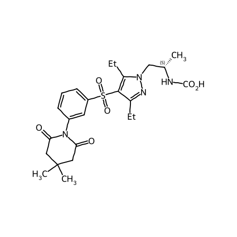 CCc1nn(C[C@H](C)NC(=O)O)c(CC)c1S(=O)(=O)c1cccc(N2C(=O)CC(C)(C)CC2=O)c1